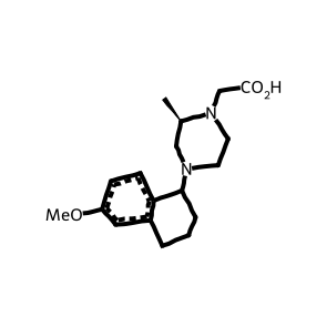 COc1ccc2c(c1)CCCC2N1CCN(CC(=O)O)[C@H](C)C1